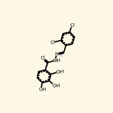 O=C(N/N=C/c1ccc(Cl)cc1Cl)c1ccc(O)c(O)c1O